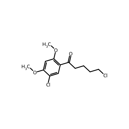 COc1cc(OC)c(C(=O)CCCCCl)cc1Cl